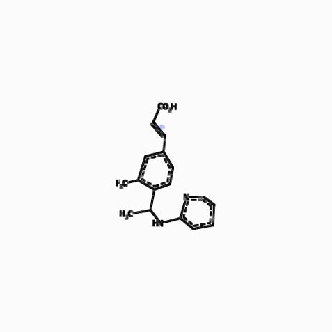 CC(Nc1ccccn1)c1ccc(/C=C/C(=O)O)cc1C(F)(F)F